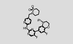 CC(C)N1CCOc2c(F)cc(-c3nc(Nc4ccc(CN5CCCCS5(=O)=O)cn4)ncc3F)cc21